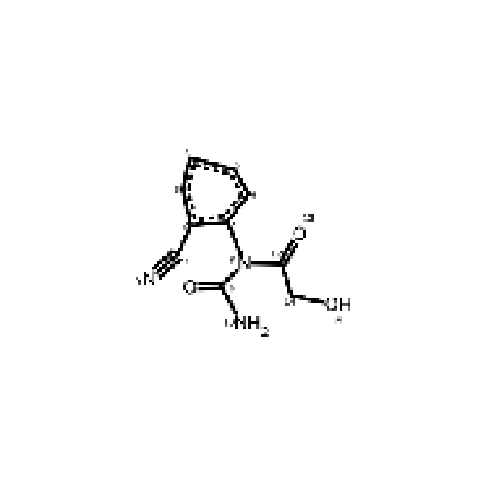 N#Cc1ccccc1N(C(N)=O)C(=O)CO